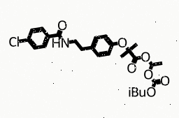 CC(C)COC(=O)OC(C)OC(=O)C(C)(C)Oc1ccc(CCNC(=O)c2ccc(Cl)cc2)cc1